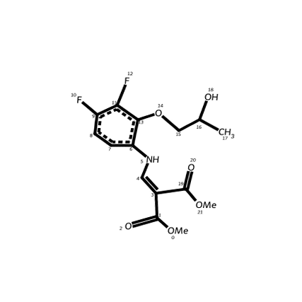 COC(=O)C(=CNc1ccc(F)c(F)c1OCC(C)O)C(=O)OC